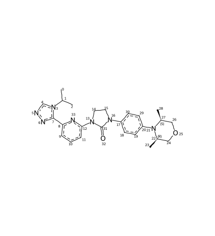 CC(C)n1cnnc1-c1cccc(N2CCN(c3ccc(N4[C@H](C)COC[C@@H]4C)cc3)C2=O)n1